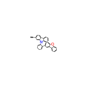 C#Cc1ccc2c3ccccc3n(C3=CCCC=C3c3ccc4oc5ccccc5c4c3)c2c1